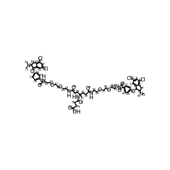 CN(C)C1Cc2c(Cl)cc(Cl)cc2[C@@H]1Oc1ccc(S(=O)(=O)NCCOCCOCCNC(=O)CCC(C)(CCC(=O)NCCOCCOCCN[S+]([O-])c2ccc(OC3c4cc(Cl)cc(Cl)c4C[C@@H]3N(C)C)cc2)NC(=O)CCC(=O)O)cc1